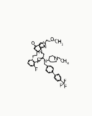 CCN1CCC(N(Cc2ccc(-c3ccc(C(F)(F)F)cc3)cc2)C(=O)Cn2c(CCc3cccc(F)c3F)cc(=O)c3cn(CCOC)nc32)CC1